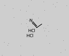 CC=[N].Cl.Cl